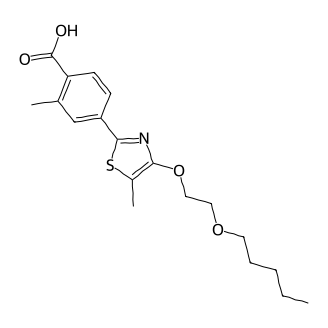 CCCCCOCCOc1nc(-c2ccc(C(=O)O)c(C)c2)sc1C